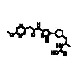 COc1cnc(CC(=O)Nc2cc([C@H]3CC[C@@H](CC(C)NC(=O)O)C3)[nH]n2)cn1